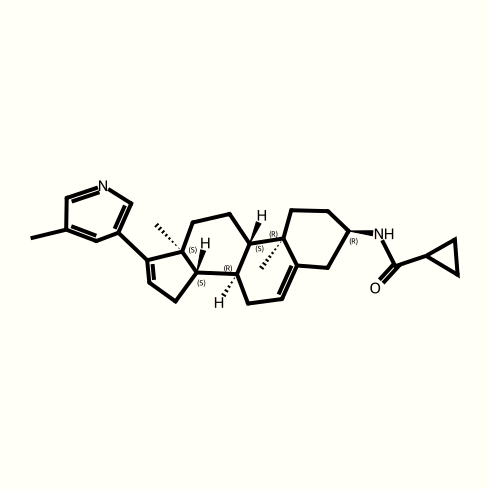 Cc1cncc(C2=CC[C@H]3[C@@H]4CC=C5C[C@H](NC(=O)C6CC6)CC[C@]5(C)[C@H]4CC[C@]23C)c1